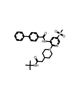 CC(C)(C)NC(=O)CC1CCN(c2ncc(S(C)(=O)=O)cc2NC(=O)c2ccc(-c3ccccc3)cc2)CC1